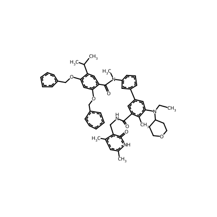 CCN(c1cc(-c2cccc(N(C)C(=O)c3cc(C(C)C)c(OCc4ccccc4)cc3OCc3ccccc3)c2)cc(C(=O)NCc2c(C)cc(C)[nH]c2=O)c1C)C1CCOCC1